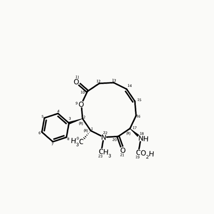 C[C@@H]1[C@@H](c2ccccc2)OC(=O)CCC=CC[C@@H](NC(=O)O)C(=O)N1C